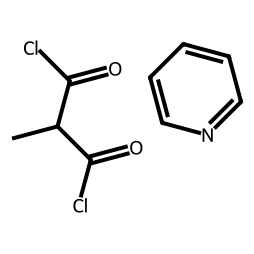 CC(C(=O)Cl)C(=O)Cl.c1ccncc1